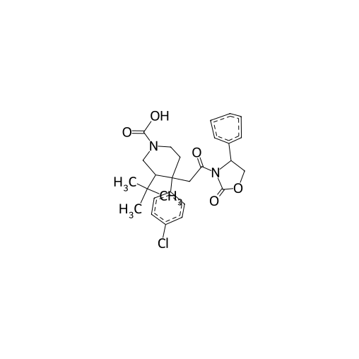 CC(C)(C)C1CN(C(=O)O)CCC1(CC(=O)N1C(=O)OCC1c1ccccc1)c1ccc(Cl)cc1